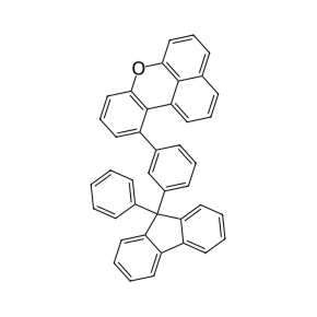 c1ccc(C2(c3cccc(-c4cccc5c4-c4cccc6cccc(c46)O5)c3)c3ccccc3-c3ccccc32)cc1